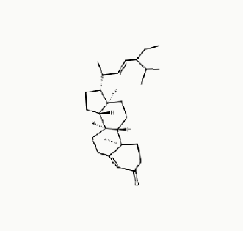 CCC(/C=C/C(C)[C@H]1CC[C@H]2[C@@H]3CCC4=CC(=O)CC[C@]4(C)[C@H]3CC[C@]12C)C(C)C